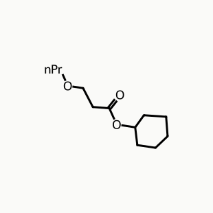 CCCOCCC(=O)OC1CCCCC1